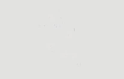 CCOC(=O)Cc1cc(OC)c(CC(C)NC(=O)C(F)(F)F)cc1OC